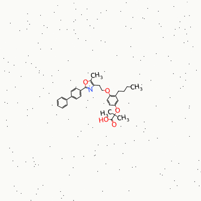 CCCCc1cc(OC(C)(C)C(=O)O)ccc1OCCc1nc(-c2ccc(-c3ccccc3)cc2)oc1C